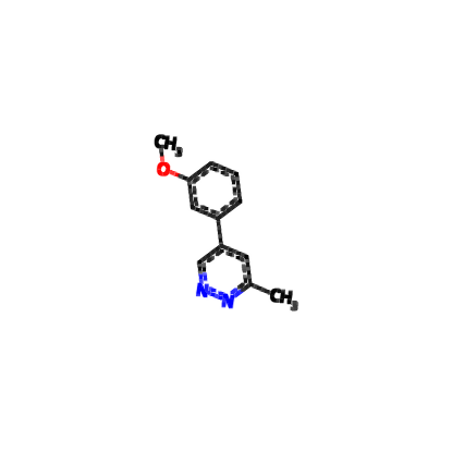 COc1cccc(-c2cnnc(C)c2)c1